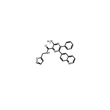 Nc1nc(-c2ccccc2)c(-c2ccc3ncccc3c2)nc1C(=O)NCc1ccno1